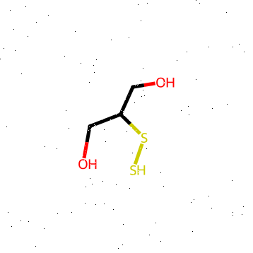 OCC(CO)SS